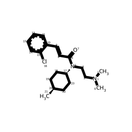 CN(C)CCN(C(=O)C=Cc1ccccc1Cl)[C@H]1CC[C@H](C)CC1